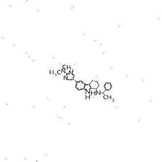 CC(NC1CCCc2c1[nH]c1ccc(-c3cnc(N(C)C)nc3)cc21)c1ccccc1